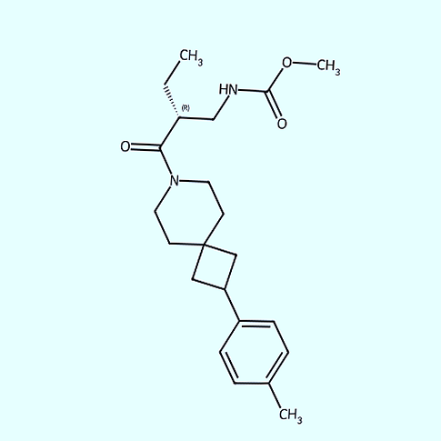 CC[C@H](CNC(=O)OC)C(=O)N1CCC2(CC1)CC(c1ccc(C)cc1)C2